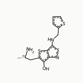 C[C@H](N)Cc1sc2c(NCc3cccs3)snc2c1O